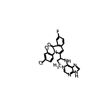 CCC(Nc1ncnc2[nH]cnc12)c1cc2ccc(F)cc2c(=O)n1-c1ccc(Cl)cc1Cl